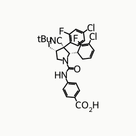 CC(C)(C)C[C@H]1CN(C(=O)Nc2ccc(C(=O)O)cc2)[C@@H](C2CC=CC(Cl)=C2F)[C@]1(C#N)c1ccc(Cl)cc1F